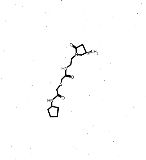 C[C@@H]1CC(=O)N(CCNC(=O)CSCC(=O)NC2CCCC2)C1